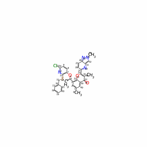 Cc1cc([C@@H](C)Oc2ccc(Cl)nc2SCc2ccccc2)c2oc(-c3ccc4nn(C)cc4n3)c(C)c(=O)c2c1